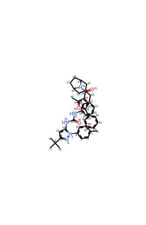 Cc1ccc(-n2nc(C(C)(C)C)cc2NC(=O)Nc2cccc(CC3CC4CCC(C3)N4C(=O)c3cc(-c4ccccc4)oc3C)c2)cc1